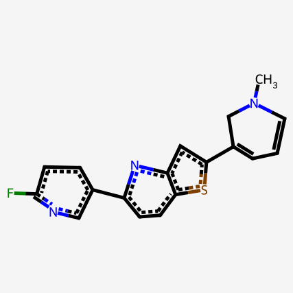 CN1C=CC=C(c2cc3nc(-c4ccc(F)nc4)ccc3s2)C1